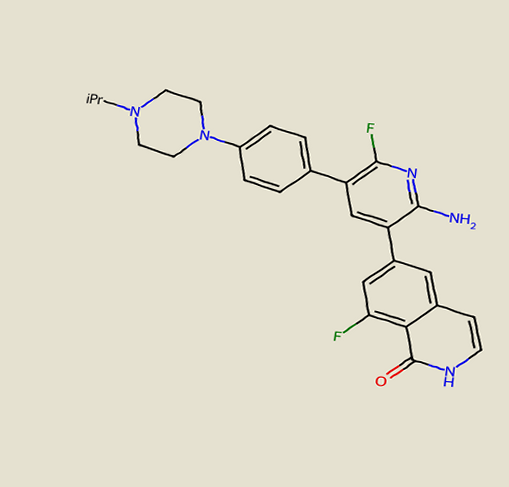 CC(C)N1CCN(c2ccc(-c3cc(-c4cc(F)c5c(=O)[nH]ccc5c4)c(N)nc3F)cc2)CC1